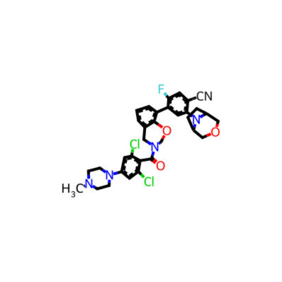 CN1CCN(c2cc(Cl)c(C(=O)N3COc4c(cccc4-c4cc(N5C6CCC5COC6)c(C#N)cc4F)C3)c(Cl)c2)CC1